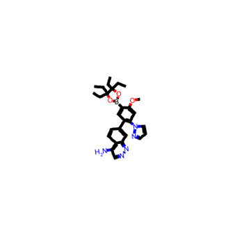 CCC1(CC)OB(c2cc(-c3ccc4c(N)cnnc4c3)c(-n3cccn3)cc2OC)OC1(CC)CC